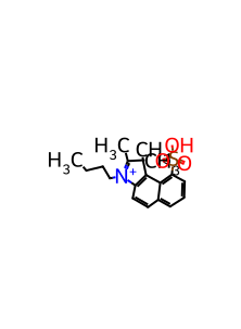 CCCC[N+]1=C(C)C(C)(C)c2c1ccc1cccc(S(=O)(=O)O)c21